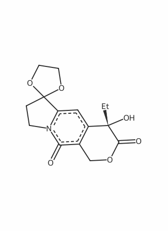 CC[C@@]1(O)C(=O)OCc2c1cc1n(c2=O)CCC12OCCO2